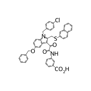 O=C(Nc1cccc(C(=O)O)c1)C(=O)c1c(CSc2ccc3ccccc3c2)n(Cc2ccc(Cl)cc2)c2ccc(OCc3ccccc3)cc12